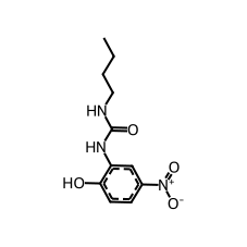 CCCCNC(=O)Nc1cc([N+](=O)[O-])ccc1O